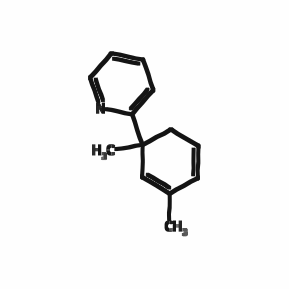 CC1=CC(C)(c2ccccn2)CC=C1